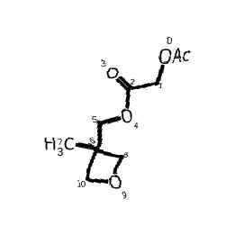 CC(=O)OCC(=O)OCC1(C)COC1